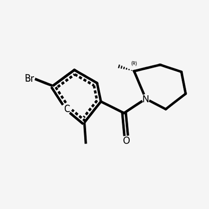 Cc1cc(Br)ccc1C(=O)N1CCCC[C@H]1C